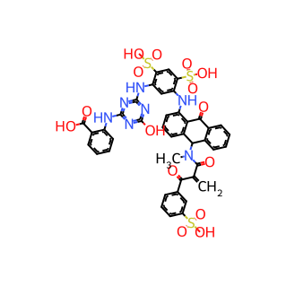 C=C(C(=O)c1cccc(S(=O)(=O)O)c1)C(=O)N(C)C1c2ccccc2C(=O)c2c(Nc3cc(Nc4nc(O)nc(Nc5ccccc5C(=O)O)n4)c(S(=O)(=O)O)cc3S(=O)(=O)O)cccc21